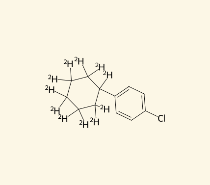 [2H]C1([2H])C([2H])([2H])C([2H])([2H])C([2H])(c2ccc(Cl)cc2)C([2H])([2H])C1([2H])[2H]